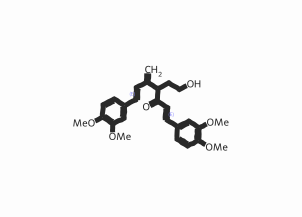 C=C(/C=C/c1ccc(OC)c(OC)c1)C(CCO)C(=O)/C=C/c1ccc(OC)c(OC)c1